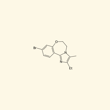 CCc1nc2n(c1C)CCOc1cc(Br)ccc1-2